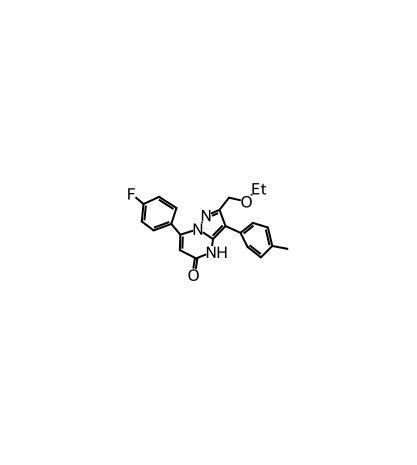 CCOCc1nn2c(-c3ccc(F)cc3)cc(=O)[nH]c2c1-c1ccc(C)cc1